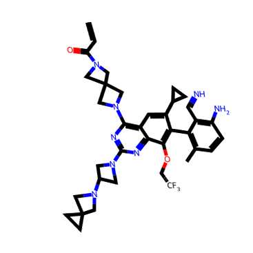 C=CC(=O)N1CC2(C1)CN(c1nc(N3CC(N4CC5(CC5)C4)C3)nc3c(OCC(F)(F)F)c(-c4c(C)ccc(N)c4C=N)c(C4CC4)cc13)C2